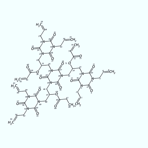 C=CCn1c(=O)n(CC=C)c(=O)n(CC(Cn2c(=O)n(CC(Cn3c(=O)n(CC=C)c(=O)n(CC=C)c3=O)OC(=O)C=C)c(=O)n(CC(Cn3c(=O)n(CC=C)c(=O)n(CC=C)c3=O)OC(=O)CC)c2=O)OC(=O)C=C)c1=O